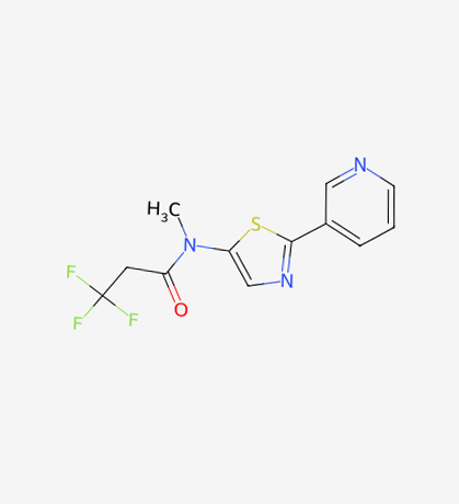 CN(C(=O)CC(F)(F)F)c1cnc(-c2cccnc2)s1